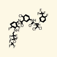 O=C(Nc1ccc(F)c(NCC(F)(F)C(F)(F)OC(F)(F)F)c1F)c1cc(NC(=O)[C@H]2[C@H](c3ccc(F)c(C(F)(F)F)c3)C2(Cl)Cl)ccc1Cl